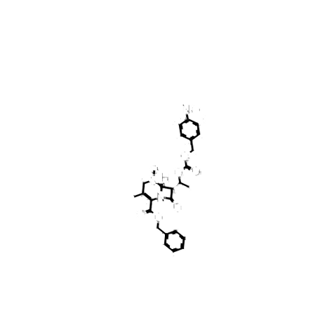 CC1=C(C(=O)OCc2ccccc2)N2C(=O)[C@H](C(C)OC(=O)OCc3ccc([N+](=O)[O-])cc3)[C@H]2[S+]([O-])C1